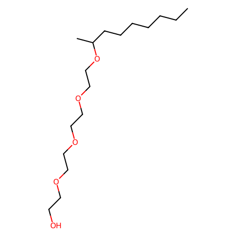 CCCCCCCC(C)OCCOCCOCCOCCO